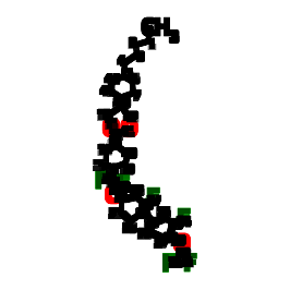 CCCCCC1CCC(C2COC(C3CCC(C(F)(F)Oc4ccc(-c5ccc(OC(F)F)c(F)c5)c(F)c4)CC3)OC2)CC1